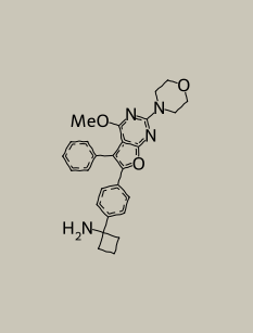 COc1nc(N2CCOCC2)nc2oc(-c3ccc(C4(N)CCC4)cc3)c(-c3ccccc3)c12